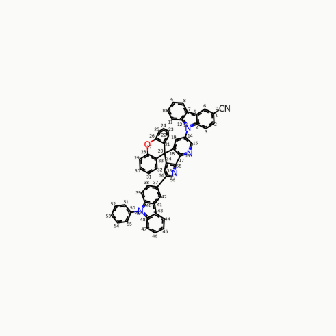 N#Cc1ccc2c(c1)c1ccccc1n2-c1cnc2c(c1)C1(c3ccccc3Oc3ccccc31)c1cc(-c3ccc4c(c3)c3ccccc3n4-c3ccccc3)cnc1-2